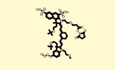 COCC[N+]1=C(/C=C/C2=CC(=C/C=C3/N(CCOCCC(=O)ON4C(=O)CCC4=O)c4c(S(=O)(=O)O)cc5cc(S(=O)(=O)O)ccc5c4C3(C)CCOC(C)(C)C)/CCC2)C(C)(CCOC(C)(C)C)c2cc(SOO[O-])ccc21